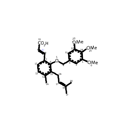 COc1cc(COc2c(/C=C/C(=O)O)ccc(C)c2CC=C(C)C)cc(OC)c1OC